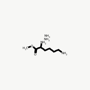 COC(=O)C(N)CCCCN.N.N